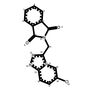 O=C1c2ccccc2C(=O)N1Cc1nnc2ccc(Cl)cn12